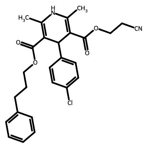 CC1=C(C(=O)OCCC#N)C(c2ccc(Cl)cc2)C(C(=O)OCCCc2ccccc2)=C(C)N1